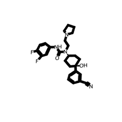 N#Cc1cccc([C@]2(O)CC[C@H](N(CCN3CCCC3)C(=O)Nc3ccc(F)c(F)c3)CC2)c1